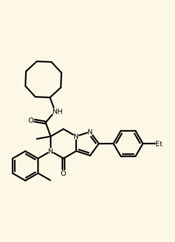 CCc1ccc(-c2cc3n(n2)CC(C)(C(=O)NC2CCCCCCC2)N(c2ccccc2C)C3=O)cc1